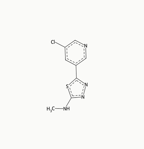 CNc1nnc(-c2cncc(Cl)c2)s1